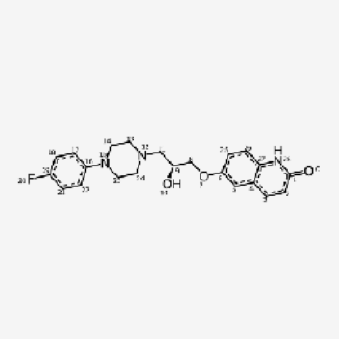 O=c1ccc2cc(OC[C@@H](O)CN3CCN(c4ccc(F)cc4)CC3)ccc2[nH]1